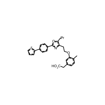 Cc1ccc(CC(=O)O)cc1OCCc1nc(-c2ccc(-c3cccs3)cc2)oc1C(C)C